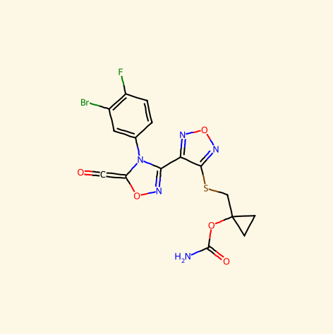 NC(=O)OC1(CSc2nonc2C2=NOC(=C=O)N2c2ccc(F)c(Br)c2)CC1